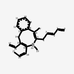 C=CC=CC/C1=C(\C)c2ccccc2C/C(C=C)=C(/C=C\C)B1C